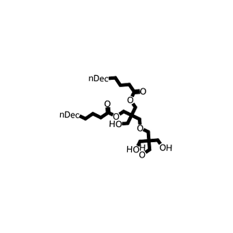 CCCCCCCCCCCCCC(=O)OCC(CO)(COCC(CO)(CO)CO)COC(=O)CCCCCCCCCCCCC